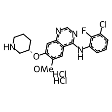 COc1cc2c(Nc3cccc(Cl)c3F)ncnc2cc1O[C@H]1CCCNC1.Cl.Cl